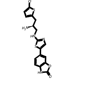 N[C@H](CNc1ncc(-c2ccc3[nH]c(=O)oc3c2)s1)Cc1ccc(Cl)s1